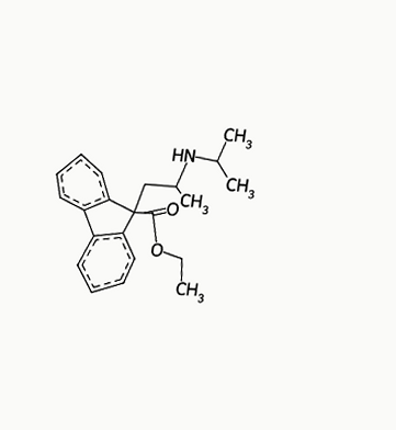 CCOC(=O)C1(CC(C)NC(C)C)c2ccccc2-c2ccccc21